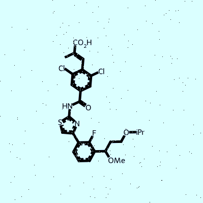 COC(CCOC(C)C)c1cccc(-c2csc(NC(=O)c3cc(Cl)c(C=C(C)C(=O)O)c(Cl)c3)n2)c1F